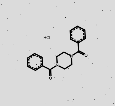 Cl.O=C(c1ccccc1)N1CCN(C(=O)c2ccccc2)CC1